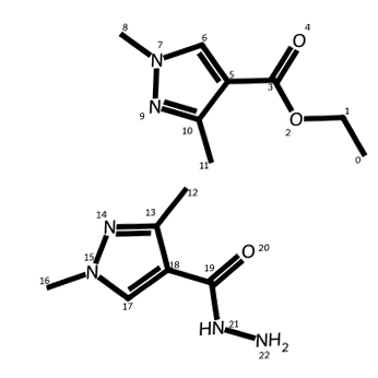 CCOC(=O)c1cn(C)nc1C.Cc1nn(C)cc1C(=O)NN